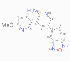 COc1ccc(-c2cc(-c3ccc4nonc4c3)cnc2N)cn1